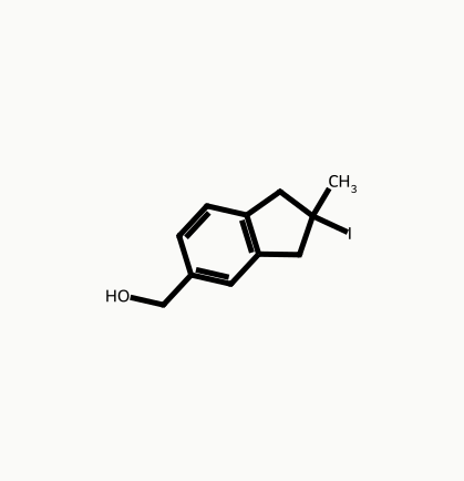 CC1(I)Cc2ccc(CO)cc2C1